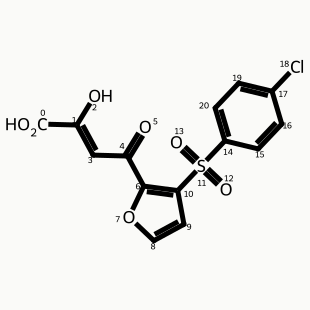 O=C(O)C(O)=CC(=O)c1occc1S(=O)(=O)c1ccc(Cl)cc1